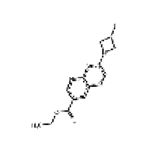 CCOC(=O)c1cnc2nc(N3CC(F)C3)ccc2c1